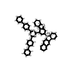 C1=CC2c3cc4ccccc4cc3N(c3cc(-c4nc(-c5ccc(-c6ccccc6)cc5)nc(-c5ccc(-c6ccccc6)cc5)n4)c4c5c(oc4c3)CCC=C5)[C@H]2C=C1